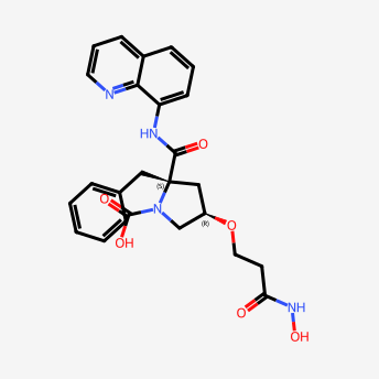 O=C(CCO[C@H]1CN(C(=O)O)[C@](Cc2ccccc2)(C(=O)Nc2cccc3cccnc23)C1)NO